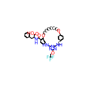 O=C(NC(Cc1ccccc1)C(=O)O)c1ccc2cc1OCCCCCCOc1ccc(cc1)CNc1nc(nc(OCC(F)(F)F)n1)N2